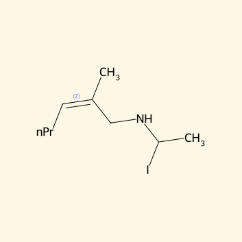 CCC/C=C(/C)CNC(C)I